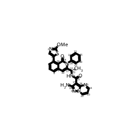 COc1ncc(-c2cccc3cc([C@H](C)NC(=O)c4c(N)nn5cccnc45)n(-c4ccccc4)c(=O)c23)s1